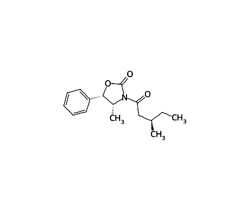 CC[C@@H](C)CC(=O)N1C(=O)O[C@@H](c2ccccc2)[C@H]1C